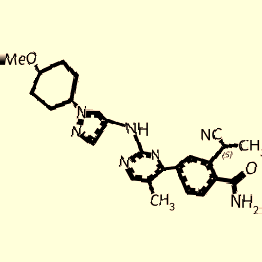 CO[C@H]1CC[C@@H](n2cc(Nc3ncc(C)c(-c4ccc(C(N)=O)c([C@H](C)C#N)c4)n3)cn2)CC1